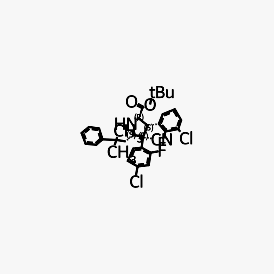 CC(C)(C)OC(=O)[C@@H]1N[C@@H](CC(C)(C)c2ccccc2)[C@](C#N)(c2ccc(Cl)cc2F)[C@H]1c1cccc(Cl)c1F